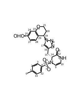 Cc1ccc(S(=O)(=O)N2C=CNC(=O)[C@H]2Cc2cn([C@@H]3CCOc4cc(C=O)ccc43)nn2)cc1